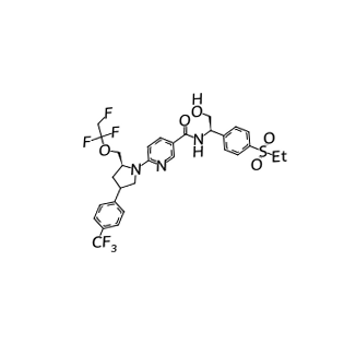 CCS(=O)(=O)c1ccc([C@H](CO)NC(=O)c2ccc(N3CC(c4ccc(C(F)(F)F)cc4)C[C@H]3COC(F)(F)CF)nc2)cc1